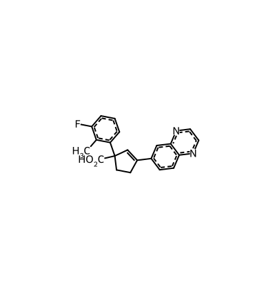 Cc1c(F)cccc1C1(C(=O)O)C=C(c2ccc3nccnc3c2)CC1